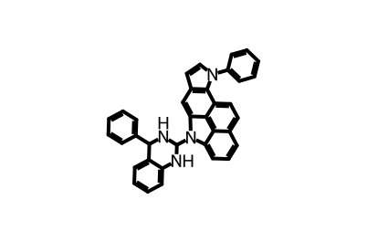 c1ccc(C2NC(n3c4cccc5ccc6c(c54)c3cc3ccn(-c4ccccc4)c36)Nc3ccccc32)cc1